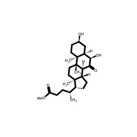 COC(=O)CC[C@@H](C)[C@H]1CC[C@H]2[C@@H]3C(=O)[C@H](O)[C@@H]4C[C@H](O)CC[C@]4(C)[C@@]3(C)CC[C@]12C